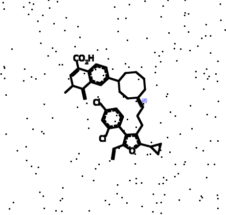 C=Cc1oc(C2CC2)c(CC/C=C2/CCCCC(c3ccc4c(c3)C(=C)C(C)C=C4C(=O)O)CC2)c1-c1ccc(Cl)cc1Cl